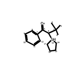 CC(C)(C)C(C(=O)c1ccccc1)[SH]1CCCC1